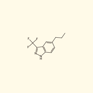 CCCc1ccc2[nH]nc(C(F)(F)F)c2c1